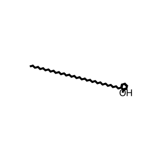 CCCCCCCCCCCCCCCCCCCCCCCCCCCCCCCCCCCc1ccccc1O